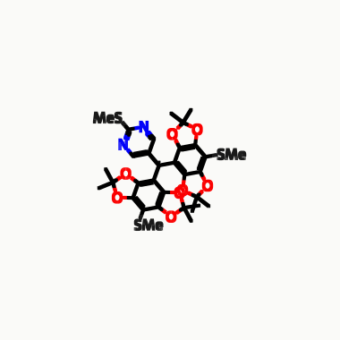 CSc1ncc([C](c2c3c(c(SC)c4c2OC(C)(C)O4)OC(C)(C)O3)c2c3c(c(SC)c4c2OC(C)(C)O4)OC(C)(C)O3)cn1